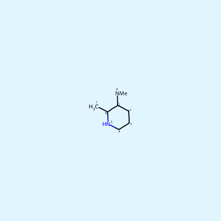 CNC1CCCNC1C